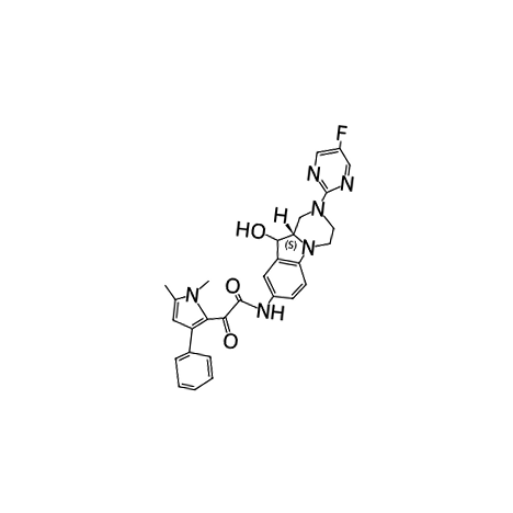 Cc1cc(-c2ccccc2)c(C(=O)C(=O)Nc2ccc3c(c2)C(O)[C@@H]2CN(c4ncc(F)cn4)CCN32)n1C